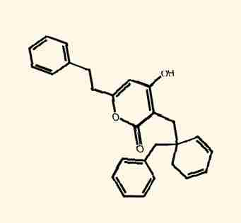 O=c1oc(CCc2ccccc2)cc(O)c1CC1(Cc2ccccc2)C=CC=CC1